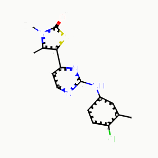 CCn1c(C)c(-c2ccnc(Nc3ccc(Cl)c(C)c3)n2)sc1=O